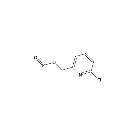 O=POCc1cccc(Cl)n1